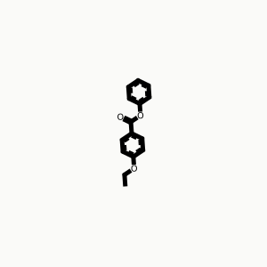 CCOc1ccc(C(=O)Oc2ccccc2)cc1